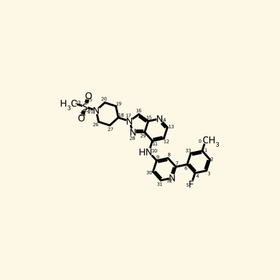 Cc1ccc(F)c(-c2cc(Nc3ccnc4cn(C5CCN(S(C)(=O)=O)CC5)nc34)ccn2)c1